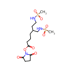 CS(=O)(=O)NCCC(CCCC(=O)ON1C(=O)CCC1=O)CNS(C)(=O)=O